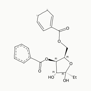 CC[C@@]1(O)O[C@H](COC(=O)C2=C[C][C]C=C2)[C@H](OC(=O)c2ccccc2)[C@H]1O